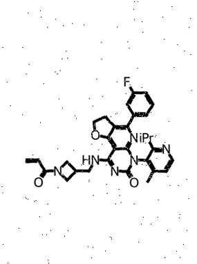 C=CC(=O)N1CC(CNc2nc(=O)n(-c3c(C)ccnc3C(C)C)c3nc(-c4cccc(F)c4)c4c(c23)OCC4)C1